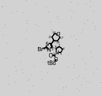 CC(C)(C)OC(=O)N1CCC[C@H]1c1nc(Br)sc1C1CCOCC1